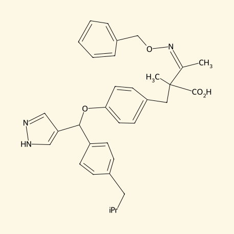 CC(=NOCc1ccccc1)C(C)(Cc1ccc(OC(c2ccc(CC(C)C)cc2)c2cn[nH]c2)cc1)C(=O)O